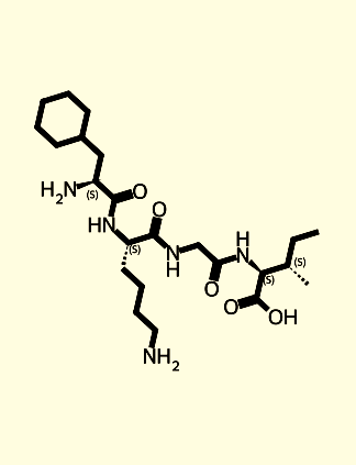 CC[C@H](C)[C@H](NC(=O)CNC(=O)[C@H](CCCCN)NC(=O)[C@@H](N)CC1CCCCC1)C(=O)O